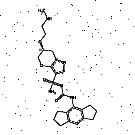 CNCCO[C@@H]1COc2c(S(N)(=O)=NC(=O)Nc3c4c(cc5c3CCC5)CCC4)cnn2C1